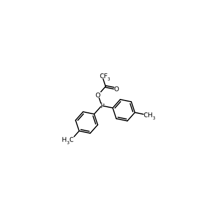 Cc1ccc([I+](OC(=O)C(F)(F)F)c2ccc(C)cc2)cc1